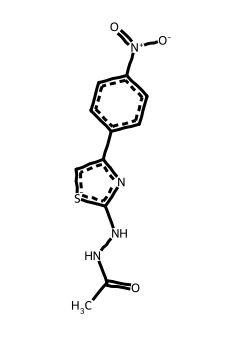 CC(=O)NNc1nc(-c2ccc([N+](=O)[O-])cc2)cs1